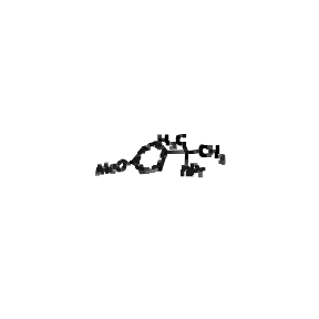 CCCC(C)(C)c1ccc(OC)cc1